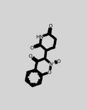 O=C1CCC(C2C(=O)c3ccccc3O[N+]2=O)C(=O)N1